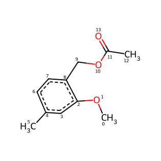 COc1cc(C)ccc1COC(C)=O